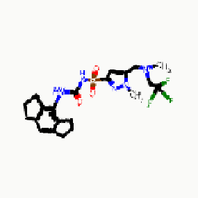 CN(Cc1cc(S(=O)(=O)NC(=O)Nc2c3c(cc4c2CCC4)CCC3)nn1C)CC(F)(F)F